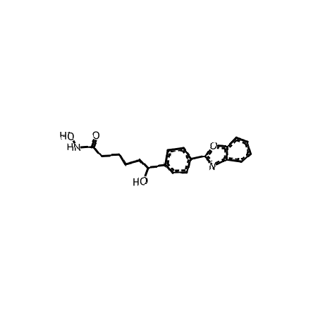 O=C(CCCCC(O)c1ccc(-c2nc3ccccc3o2)cc1)NO